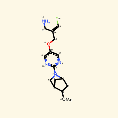 COC1CC2CC1CN2c1ncc(OC/C(=C/F)CN)cn1